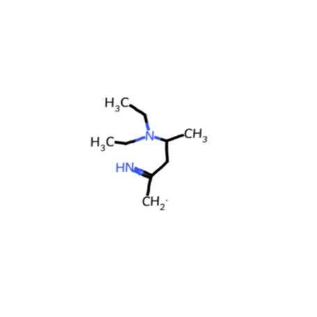 [CH2]C(=N)CC(C)N(CC)CC